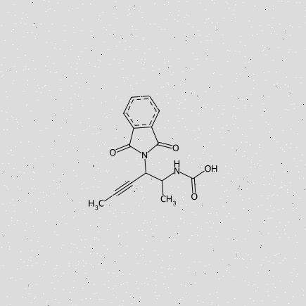 CC#CC(C(C)NC(=O)O)N1C(=O)c2ccccc2C1=O